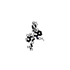 C=C(c1ccccc1/C(=C\C)CN(CCOCCNCC)Cc1cccnc1C)S(=O)(=O)N1CCN(C)CC1